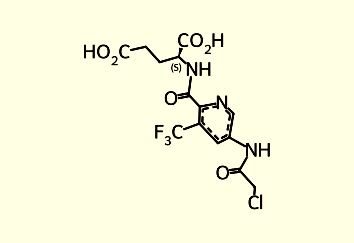 O=C(O)CC[C@H](NC(=O)c1ncc(NC(=O)CCl)cc1C(F)(F)F)C(=O)O